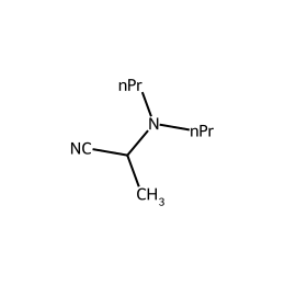 CCCN(CCC)C(C)C#N